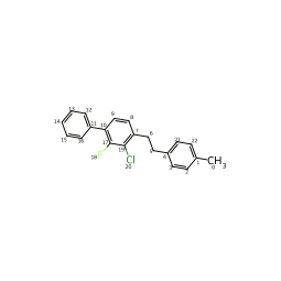 Cc1ccc(CCc2ccc(-c3ccccc3)c(F)c2Cl)cc1